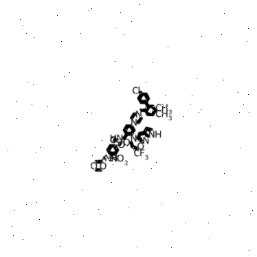 CC1(C)CCC(CN2CCN(c3ccc(C(=O)NS(=O)(=O)c4ccc(NC[C@H]5COCCO5)c([N+](=O)[O-])c4)c(N4CC[C@H](C(F)(F)F)Oc5nc6[nH]ccc6cc54)c3)CC2)=C(c2ccc(Cl)cc2)C1